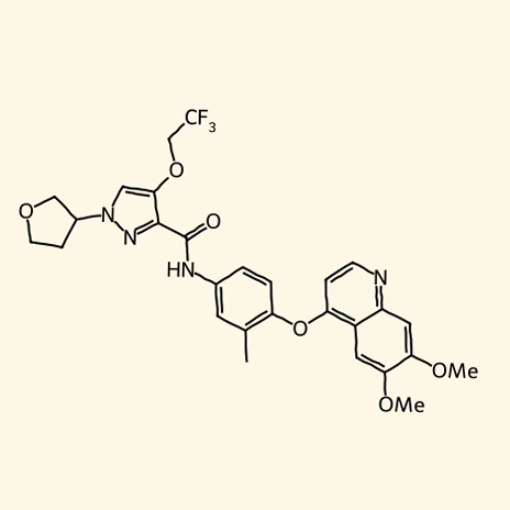 COc1cc2nccc(Oc3ccc(NC(=O)c4nn(C5CCOC5)cc4OCC(F)(F)F)cc3C)c2cc1OC